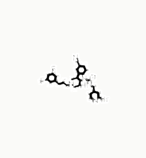 N#Cc1ccc2c(c1)c1c(n2C(=O)NCc2ccnc(Br)c2)CCN(CC=Cc2cc(F)cc(F)c2)C1